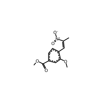 COC(=O)c1ccc(C=C(C)[N+](=O)[O-])c(OC)c1